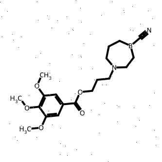 COc1cc(C(=O)OCCCN2CCCB(C#N)CC2)cc(OC)c1OC